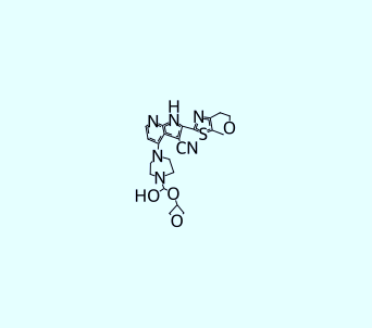 N#Cc1c(-c2nc3c(s2)COCC3)[nH]c2nccc(N3CCN(C(O)OC4COC4)CC3)c12